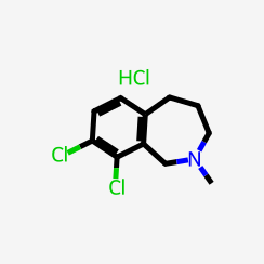 CN1CCCc2ccc(Cl)c(Cl)c2C1.Cl